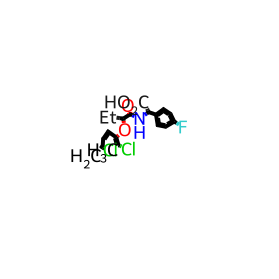 C=C(Cl)/C=C\C(OC(CC)C(=O)NC(C(=O)O)c1ccc(F)cc1)=C(/C)Cl